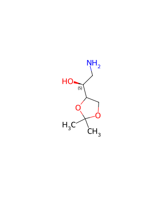 CC1(C)OCC([C@@H](O)CN)O1